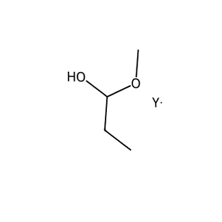 CCC(O)OC.[Y]